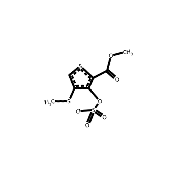 COC(=O)c1scc(SC)c1OS(=O)(=O)Cl